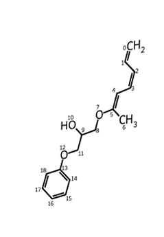 C=C/C=C\C=C(/C)OCC(O)COc1ccccc1